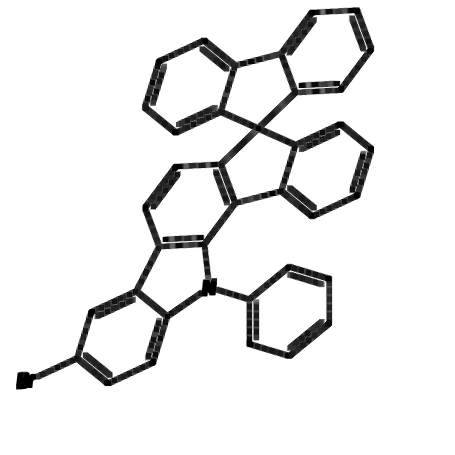 Brc1ccc2c(c1)c1ccc3c(c1n2-c1ccccc1)-c1ccccc1C31c2ccccc2-c2ccccc21